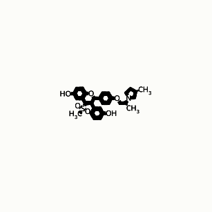 C[C@@H]1CCN([C@@H](C)COc2ccc(C3Oc4ccc(O)cc4C(S(C)(=O)=O)=C3c3cccc(O)c3)cc2)C1